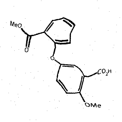 COC(=O)c1ccccc1Oc1ccc(OC)c(C(=O)O)c1